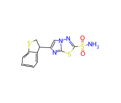 NS(=O)(=O)c1nn2cc(C3CSc4ccccc43)nc2s1